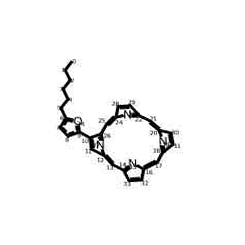 CCCCCCc1ccc(C2=CC3=CC4=NC(=CC5=NC(=CC6=NC(=CC2=N3)C=C6)C=C5)C=C4)o1